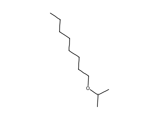 CCCCCCCCO[C](C)C